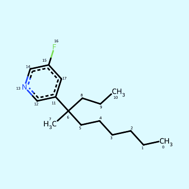 CCCCCCC(C)(CCC)c1cncc(F)c1